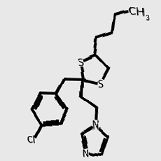 CCCCC1CSC(CCn2ccnc2)(Cc2ccc(Cl)cc2)S1